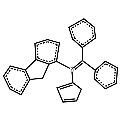 C1=CC[C]([Zr](=[C](c2ccccc2)c2ccccc2)[c]2cccc3c2Cc2ccccc2-3)=C1